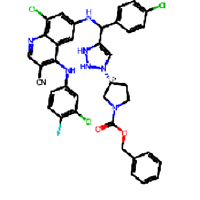 N#Cc1cnc2c(Cl)cc(NC(C3=CN([C@@H]4CCN(C(=O)OCc5ccccc5)C4)NN3)c3ccc(Cl)cc3)cc2c1Nc1ccc(F)c(Cl)c1